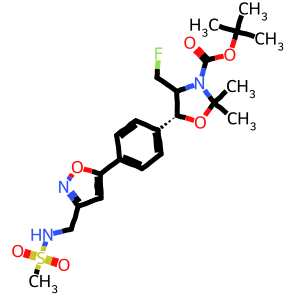 CC(C)(C)OC(=O)N1C(CF)[C@@H](c2ccc(-c3cc(CNS(C)(=O)=O)no3)cc2)OC1(C)C